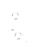 Cc1cc(C(=O)CCc2ccccc2)cc(C)c1O